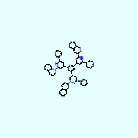 c1ccc(-c2cc(-c3cc(-c4cc(-c5ccccc5)nc(-c5ccc6ccccc6c5)c4)cc(-c4cc(-c5ccccc5)nc(-c5cccc6ccccc56)c4)c3)cc(-c3ccc4ccccc4c3)n2)cc1